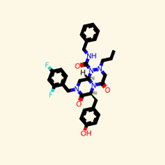 CCCN1CC(=O)N2[C@@H](Cc3ccc(O)cc3)C(=O)N(Cc3ccc(F)cc3F)C[C@@H]2N1C(=O)NCc1ccccc1